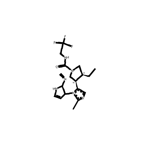 C=NC1NC=CC1n1c([C@H]2CN(C(=O)NCC(F)(F)F)C[C@H]2CC)cnc1C